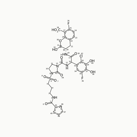 O=C(NCCCS(=O)(=O)N1CCN(C(=O)NC(C(=O)N[C@H]2Cc3ccc(F)c(C(=O)O)c3OB2O)c2cc(F)c(O)c(O)c2Cl)C1=O)c1nccs1